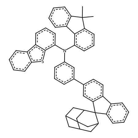 CC1(C)c2ccccc2-c2c(N(c3cccc(-c4ccc5c(c4)C4(c6ccccc6-5)C5CC6CC(C5)CC4C6)c3)c3cccc4c3sc3ccccc34)cccc21